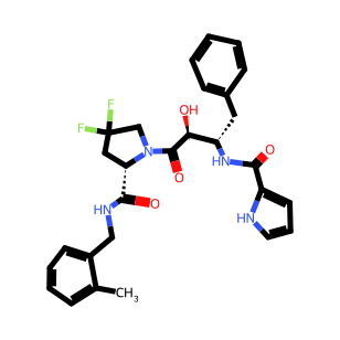 Cc1ccccc1CNC(=O)[C@@H]1CC(F)(F)CN1C(=O)[C@@H](O)[C@H](Cc1ccccc1)NC(=O)c1ccc[nH]1